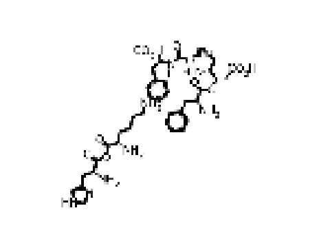 CC(C)(C)OC(=O)N[C@@H](Cc1ccccc1)C(=O)O.CC(C)C[C@H](N)[C@H](CC(=O)O)OC(=O)[C@@H](N)Cc1ccccc1.NCCCC[C@H](N)C(=O)OC(=O)[C@@H](N)Cc1c[nH]cn1